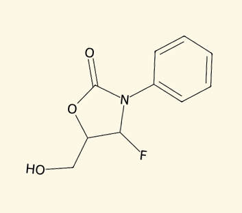 O=C1OC(CO)C(F)N1c1ccccc1